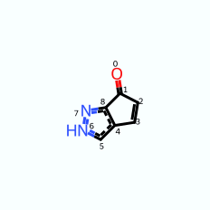 O=C1C=Cc2c[nH]nc21